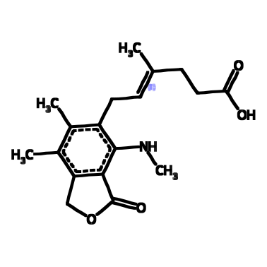 CNc1c(C/C=C(\C)CCC(=O)O)c(C)c(C)c2c1C(=O)OC2